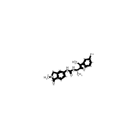 Cc1c([C@H](C)NC(=O)Nc2ccc3c(c2)CN(C)C3=O)oc2ccc(F)cc12